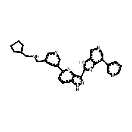 c1cncc(-c2cncc3[nH]c(-c4n[nH]c5ccc(-c6cncc(CNCC7CCCC7)c6)nc45)nc23)c1